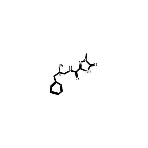 CC(C)[C@@H](CNC(=O)c1nn(C)c(=O)[nH]1)Cc1ccccc1